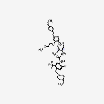 CCN1CCN(Cc2cc(F)c(NC(=O)NC(=C/N)/C(C)=N\Cc3cnc(OCc4ccc(OC)cc4)cc3OCCOC)cc2C(F)(F)F)CC1